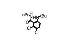 CCCNC(=O)c1c(NC(C)(C)C)ccc(Cl)c1Cl